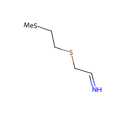 CSCCSCC=N